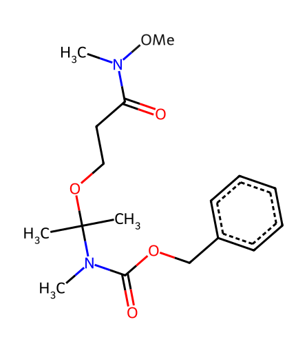 CON(C)C(=O)CCOC(C)(C)N(C)C(=O)OCc1ccccc1